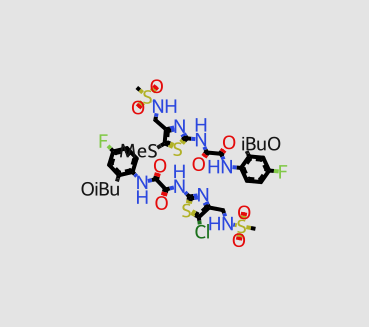 CC(C)COc1cc(F)ccc1NC(=O)C(=O)Nc1nc(CNS(C)(=O)=O)c(Cl)s1.CSc1sc(NC(=O)C(=O)Nc2ccc(F)cc2OCC(C)C)nc1CNS(C)(=O)=O